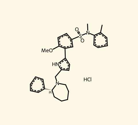 COc1ccc(S(=O)(=O)N(C)c2ccccc2C)cc1-c1ccc(CN2CCCCC[C@@H]2c2ccccc2)[nH]1.Cl